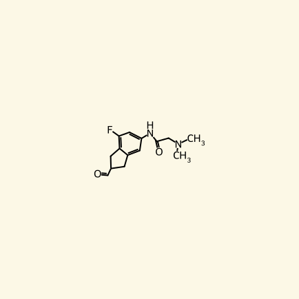 CN(C)CC(=O)Nc1cc(F)c2c(c1)CC(C=O)C2